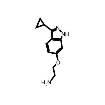 NCCOc1ccc2c(C3CC3)n[nH]c2c1